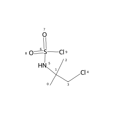 CC(C)(CCl)NS(=O)(=O)Cl